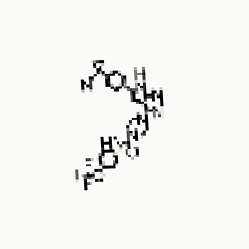 N#CC1(c2ccc(-c3cc4c(N5CCN(C(=O)Nc6ccc(OC(F)(F)F)cc6)CC5)ncnc4[nH]3)cc2)CC1